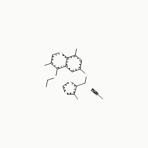 CCCC#C[C@@H](Nc1cc(Cl)c2ncc(C#N)c(NCC(C)(C)C)c2c1)c1ncsc1C